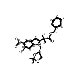 CC1(C)OC[C@H](Cn2c(C(C)(C)C(=O)OCc3ccccc3)cc3cc([N+](=O)[O-])c(F)cc32)O1